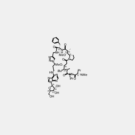 CC[C@H](C)[C@@H]([C@@H](CC(=O)N1CCC[C@H]1[C@H](OC)[C@@H](C)C(=O)N[C@@H](Cc1ccccc1)C(=O)NCc1cn(CCCNc2ncnc3c2ncn3[C@@H]2O[C@H](CO)[C@@H](O)[C@H]2O)nn1)OC)N(C)C(=O)[C@@H](NC(=O)[C@@H](NC)C(C)C)C(C)C